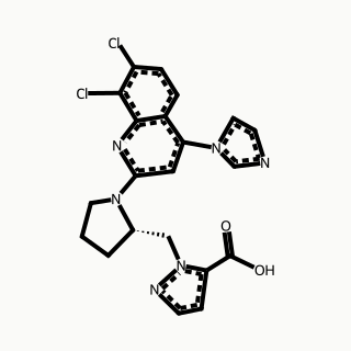 O=C(O)c1ccnn1C[C@@H]1CCCN1c1cc(-n2ccnc2)c2ccc(Cl)c(Cl)c2n1